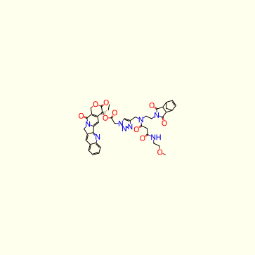 CC[C@@]1(OC(=O)Cn2cc(CN(CCN3C(=O)C4C5C=CC(C5)C4C3=O)C(=O)CC(=O)NCCOC)nn2)C(=O)OCc2c1cc1n(c2=O)Cc2cc3ccccc3nc2-1